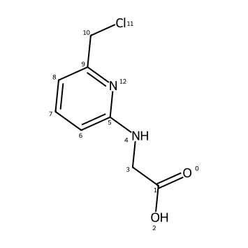 O=C(O)CNc1cccc(CCl)n1